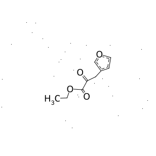 CCOC(=O)C(=O)Cc1ccoc1